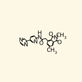 Cc1cc(CC(=O)Nc2ccc(-c3cnccn3)cn2)c2c(c1)C(=O)N(C)C2=O